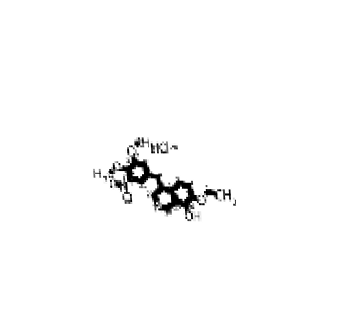 CCOc1ccc2c(Cc3cc(OC)c(OC)c([N+](=O)[O-])c3)cncc2c1O.Cl